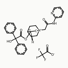 O=C(C[N+]12CCC(CC1)[C@@H](OC(=O)C(O)(c1ccccc1)c1ccccc1)C2)Nc1ccccn1.O=C([O-])C(F)(F)F